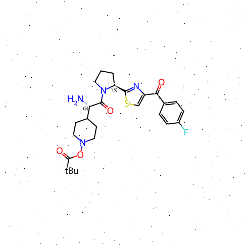 CC(C)(C)C(=O)ON1CCC([C@H](N)C(=O)N2CCC[C@H]2c2nc(C(=O)c3ccc(F)cc3)cs2)CC1